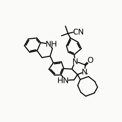 CN1C(=O)N(c2ccc(C(C)(C)C#N)cc2)C2c3cc(C4CNc5ccccc5C4)ccc3NCC21C1CCCCCCC1